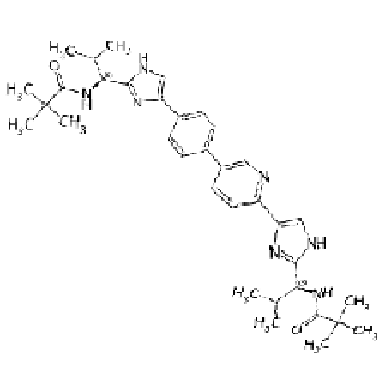 CC(C)[C@H](NC(=O)C(C)(C)C)c1nc(-c2ccc(-c3ccc(-c4c[nH]c([C@@H](NC(=O)C(C)(C)C)C(C)C)n4)nc3)cc2)c[nH]1